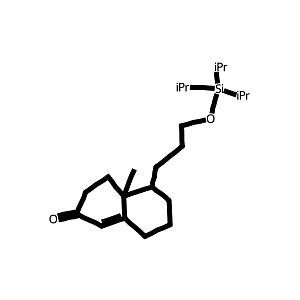 CC(C)[Si](OCCCC1CCCC2=CC(=O)CCC21C)(C(C)C)C(C)C